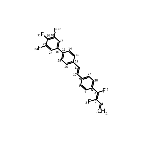 C=C/C(F)=C(\F)c1ccc(/C=C/c2ccc(-c3cc(F)c(F)c(F)c3)cc2)cc1